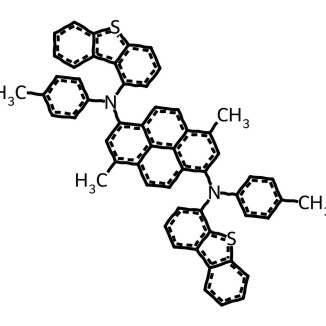 Cc1ccc(N(c2cc(C)c3ccc4c(N(c5ccc(C)cc5)c5cccc6sc7ccccc7c56)cc(C)c5ccc2c3c54)c2cccc3c2sc2ccccc23)cc1